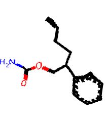 C=CCCC(COC(N)=O)c1ccccc1